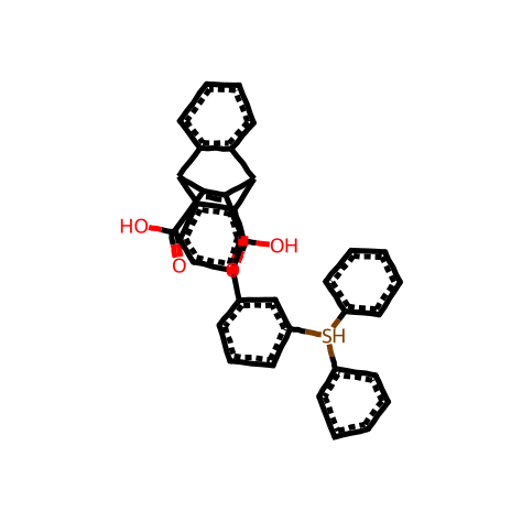 O=C(O)C1=C(C(=O)O)C2c3ccccc3C1c1ccc(-c3cccc([SH](c4ccccc4)c4ccccc4)c3)cc12